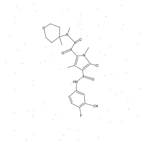 Cc1c(C(=O)Nc2ccc(F)c(C#N)c2)c(Cl)n(C)c1C(=O)C(=O)N(C)C1(C)CCOCC1